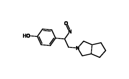 O=NC(CN1CC2CCCC2C1)c1ccc(O)cc1